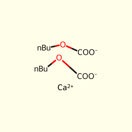 CCCCOC(=O)[O-].CCCCOC(=O)[O-].[Ca+2]